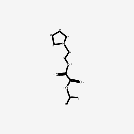 CC(C)OC(=O)C(=O)OCCN1CCCC1